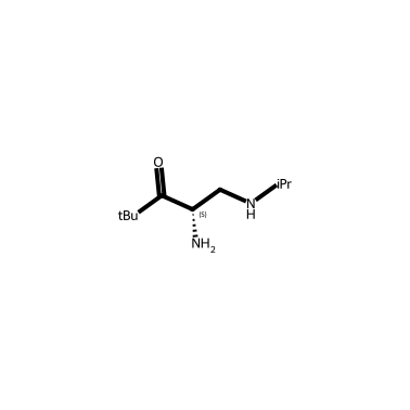 CC(C)NC[C@H](N)C(=O)C(C)(C)C